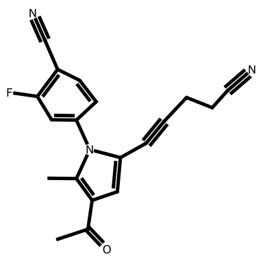 CC(=O)c1cc(C#CCCC#N)n(-c2ccc(C#N)c(F)c2)c1C